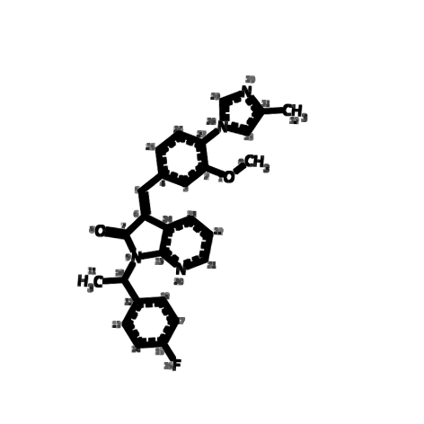 COc1cc(/C=C2/C(=O)N(C(C)c3ccc(F)cc3)c3ncccc32)ccc1-n1cnc(C)c1